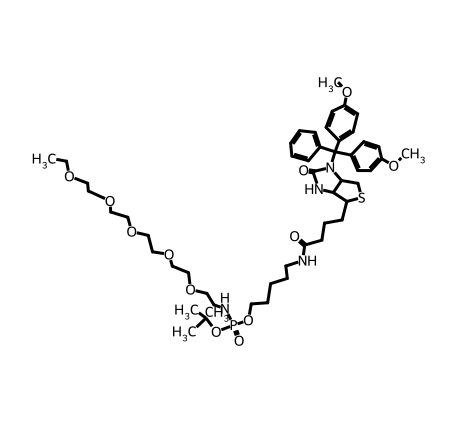 CCOCCOCCOCCOCCOCCNP(=O)(OCCCCCNC(=O)CCCC1SCC2C1NC(=O)N2C(c1ccccc1)(c1ccc(OC)cc1)c1ccc(OC)cc1)OC(C)(C)C